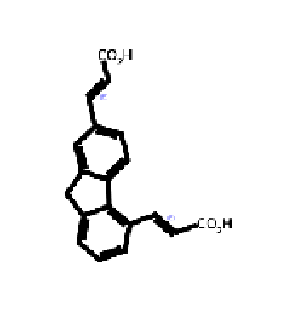 O=C(O)/C=C/c1ccc2c(c1)Cc1cccc(/C=C/C(=O)O)c1-2